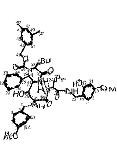 COc1ccc(CNC(C(=O)NC(C(=O)NCc2ccc(OC)cc2O)C(C)C)C(O)C(Cc2ccccc2)NC(=O)C(NC(=O)OCc2cc(C)cc(C)c2)C(C)(C)C)cc1